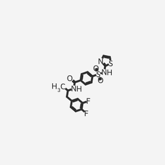 CC(Cc1ccc(F)c(F)c1)NC(=O)c1ccc(S(=O)(=O)Nc2nccs2)cc1